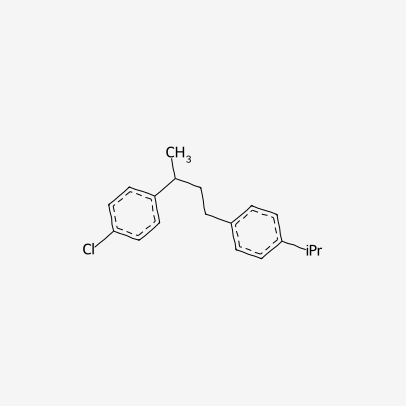 CC(C)c1ccc(CCC(C)c2ccc(Cl)cc2)cc1